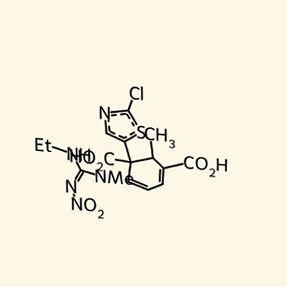 CC1C(C(=O)O)=CC=CC1(C(=O)O)c1cnc(Cl)s1.CCNC(=N[N+](=O)[O-])NC